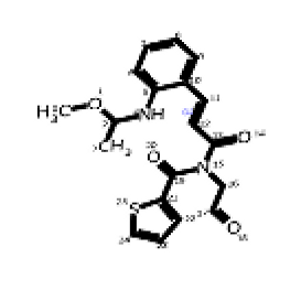 COC(C)Nc1ccccc1/C=C/C(=O)N(C[C]=O)C(=O)c1cccs1